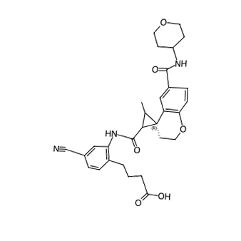 CC1C(C(=O)Nc2cc(C#N)ccc2CCCC(=O)O)[C@@]12CCOc1ccc(C(=O)NC3CCOCC3)cc12